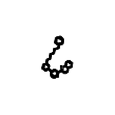 c1ccc(CCCCCCc2cccc(-c3cccc(-c4ccc5ccccc5n4)c3)c2)cc1